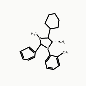 Cc1ccccc1N1C(c2ccccc2)N(C)C(C2CCCCC2)[C@@H]1C